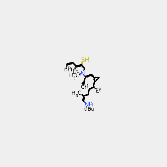 C#CC(=CC1CC1[C@@H](CC)CC/C(C)=C\NCCCC)N(C)C/C(S)=C(/C=C\CCC)CC